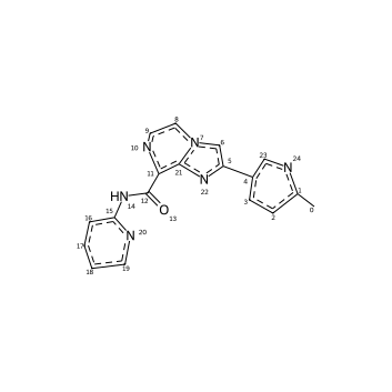 Cc1ccc(-c2cn3ccnc(C(=O)Nc4ccccn4)c3n2)cn1